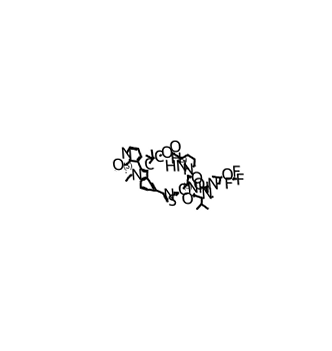 CCn1c(-c2cccnc2[C@H](C)OC)c2c3cc(ccc31)-c1csc(n1)C[C@H](NC(=O)C(C(C)C)N(C)C(=O)N1CC(OC(F)(F)F)C1)C(=O)N1CCC[C@H](N1)C(=O)OCC(C)(C)C2